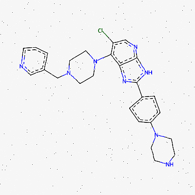 Clc1cnc2[nH]c(-c3ccc(N4CCNCC4)cc3)nc2c1N1CCN(Cc2cccnc2)CC1